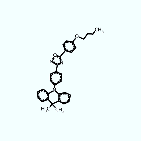 CCCCOc1ccc(-c2nc(-c3ccc(N4c5ccccc5C(C)(C)c5ccccc54)cc3)no2)cc1